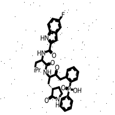 CC(C)CC(NC(=O)c1cc2cc(F)ccc2[nH]1)C(=O)NC(C[C@@H]1CCNC1=O)C(=O)Cc1ccccc1P(=O)(O)c1ccccc1